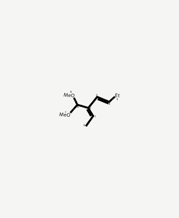 CC=C(/C=C/CC)C(OC)OC